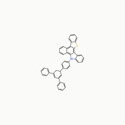 C1=C(c2ccccc2)C=C(c2ccccc2)CC1c1ccc(-n2c3ccccc3c3c4sc5ccccc5c4c4ccccc4c32)cc1